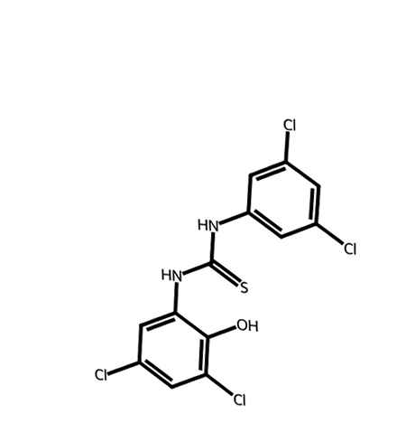 Oc1c(Cl)cc(Cl)cc1NC(=S)Nc1cc(Cl)cc(Cl)c1